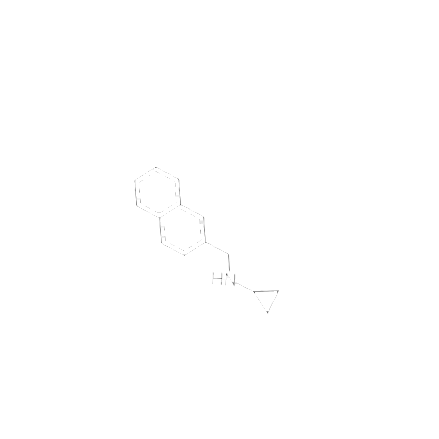 c1ccc2cc(CNC3CC3)ccc2c1